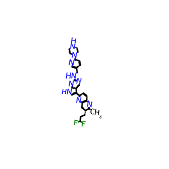 CC1=Nc2ccc(-c3c[nH]c4nc(NCc5ccc(N6CCNCC6)nc5)ncc34)nc2C[C@@H]1CCC(F)F